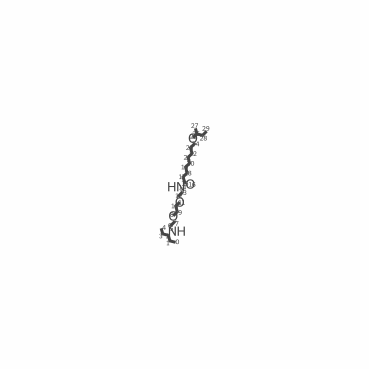 CCC(CC)NCCOCCOCCNC(=O)CCCCCCCCOC(C)CC